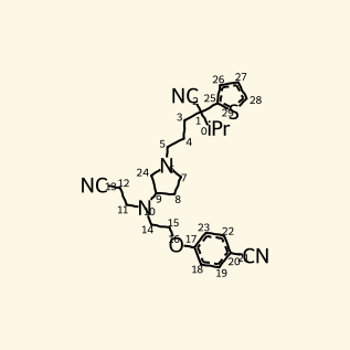 CC(C)C(C#N)(CCCN1CCC(N(CCC#N)CCOc2ccc(C#N)cc2)C1)c1cccs1